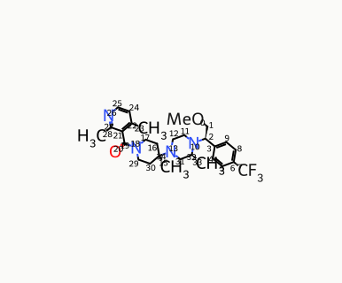 COC[C@@H](c1ccc(C(F)(F)F)cc1)N1CCN(C2(C)CCN(C(=O)c3c(C)ccnc3C)CC2)C[C@@H]1C